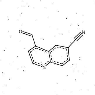 N#Cc1ccc2nccc(C=O)c2c1